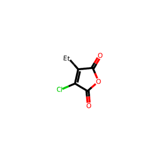 CCC1=C(Cl)C(=O)OC1=O